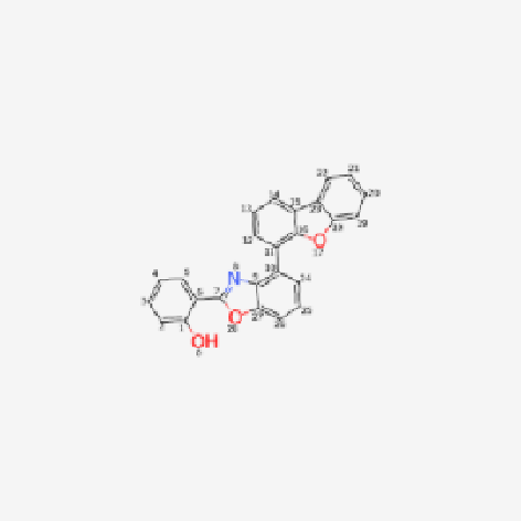 Oc1ccccc1-c1nc2c(-c3cccc4c3oc3ccccc34)cccc2o1